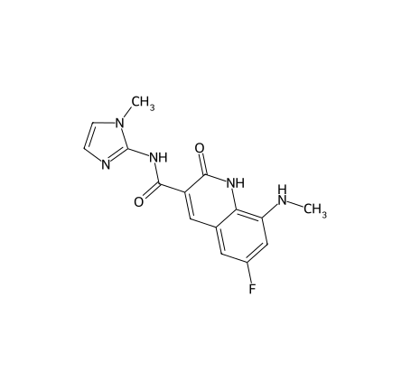 CNc1cc(F)cc2cc(C(=O)Nc3nccn3C)c(=O)[nH]c12